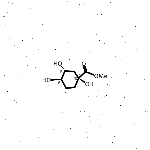 COC(=O)[C@]1(O)CC[C@@H](O)[C@H](O)C1